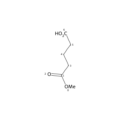 COC(=O)CC[CH]C(=O)O